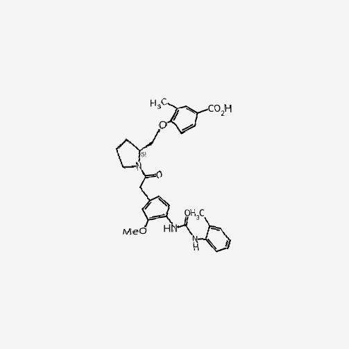 COc1cc(CC(=O)N2CCC[C@H]2COc2ccc(C(=O)O)cc2C)ccc1NC(=O)Nc1ccccc1C